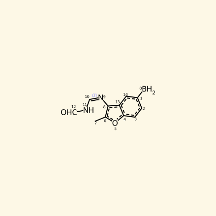 Bc1ccc2oc(C)c(/N=C\NC=O)c2c1